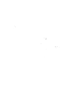 CCOC(N)(C(=O)OC)c1ccc(N)cc1